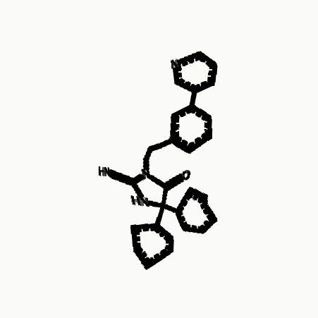 N=C1NC(c2ccccc2)(c2ccccc2)C(=O)N1Cc1cccc(-c2cccnc2)c1